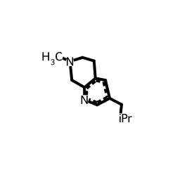 CC(C)Cc1cnc2c(c1)CCN(C)C2